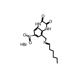 Br.CCCCCC=NCc1cc([N+](=O)[O-])cc2[nH]c(=O)c(=O)[nH]c12